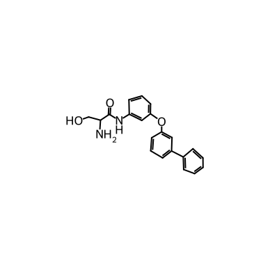 NC(CO)C(=O)Nc1cccc(Oc2cccc(-c3ccccc3)c2)c1